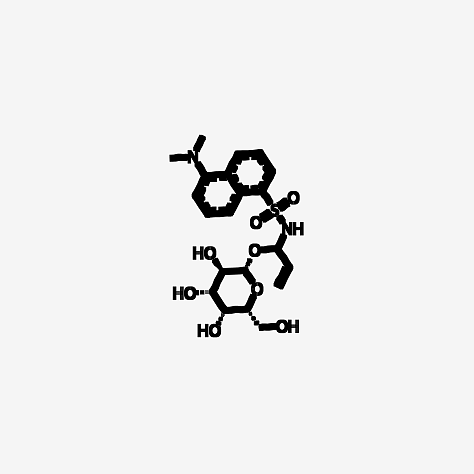 C=CC(NS(=O)(=O)c1cccc2c(N(C)C)cccc12)O[C@@H]1O[C@H](CO)[C@H](O)[C@H](O)[C@H]1O